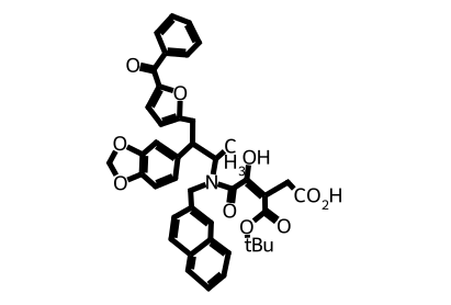 CC(C(Cc1ccc(C(=O)c2ccccc2)o1)c1ccc2c(c1)OCO2)N(Cc1ccc2ccccc2c1)C(=O)C(O)=C(CC(=O)O)C(=O)OC(C)(C)C